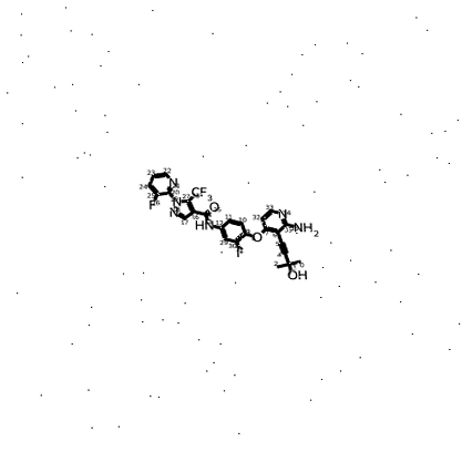 CC(C)(O)C#Cc1c(Oc2ccc(NC(=O)c3cnn(-c4ncccc4F)c3C(F)(F)F)cc2F)ccnc1N